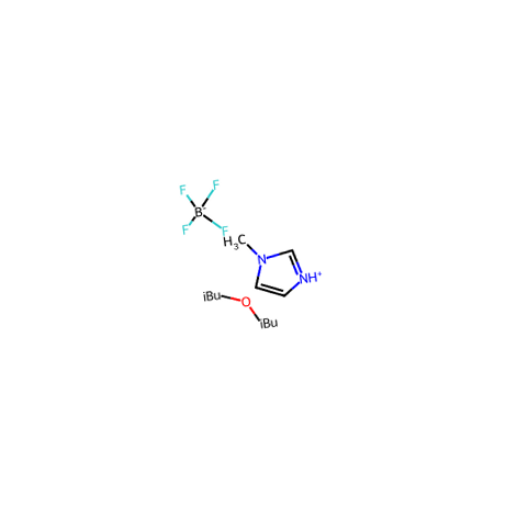 CCC(C)OC(C)CC.Cn1cc[nH+]c1.F[B-](F)(F)F